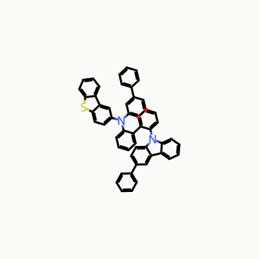 c1ccc(-c2cccc(N(c3ccc4sc5ccccc5c4c3)c3ccccc3-c3ccccc3-n3c4ccccc4c4cc(-c5ccccc5)ccc43)c2)cc1